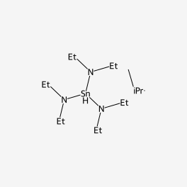 CC[N](CC)[SnH]([N](CC)CC)[N](CC)CC.C[C](C)C